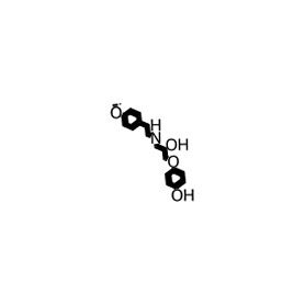 [CH2]Oc1ccc(CCNC[C@H](O)COc2ccc(O)cc2)cc1